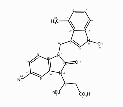 CCCCC(CC(=O)O)n1c(=O)n(Cc2cn(C)c3cccc(C)c23)c2ccc(C#N)cc21